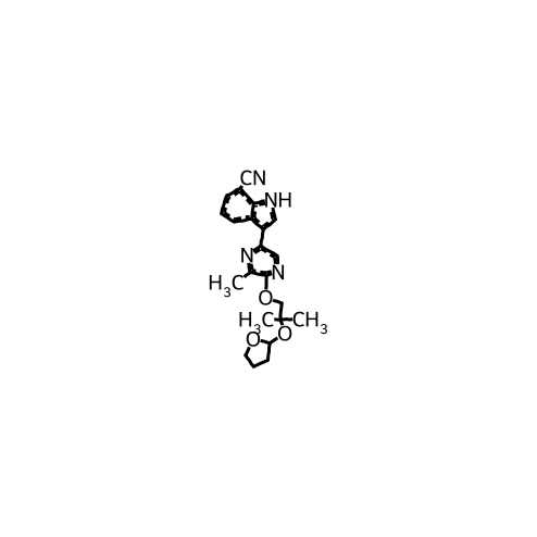 Cc1nc(-c2c[nH]c3c(C#N)cccc23)cnc1OCC(C)(C)OC1CCCO1